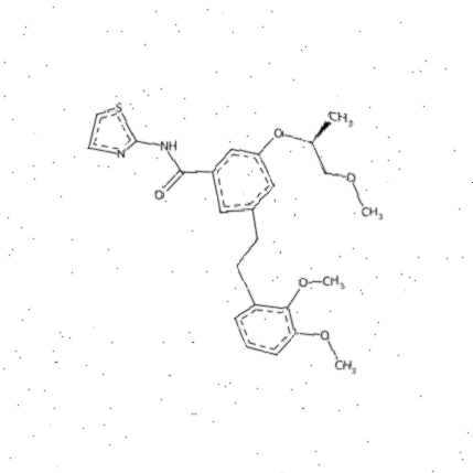 COC[C@H](C)Oc1cc(CCc2cccc(OC)c2OC)cc(C(=O)Nc2nccs2)c1